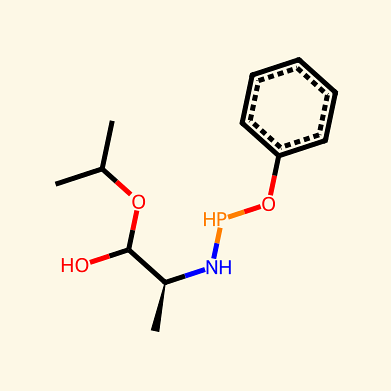 CC(C)OC(O)[C@H](C)NPOc1ccccc1